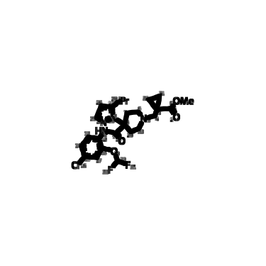 COC(=O)C1(CN2CCC(C(=O)Nc3ccc(Cl)cc3OC(F)F)(n3nccc3C(C)C)CC2)CC1